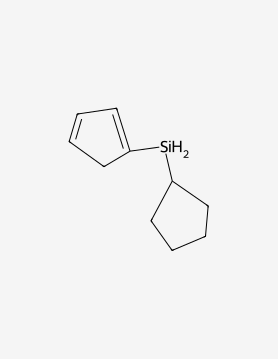 C1=CCC([SiH2]C2CCCC2)=C1